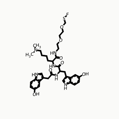 CN(C)CCCCC(NC(=O)C(Cc1c[nH]c2ccc(O)cc12)NC(=O)Cc1c[nH]c2ccc(O)cc12)C(=O)NCCOCCOCSF